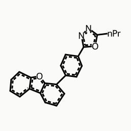 CCCc1nnc(-c2ccc(-c3cccc4c3oc3ccccc34)cc2)o1